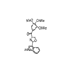 COc1cc(C(=O)C2COC(c3c[nH]c4ccccc34)=N2)cc(OC)c1OC